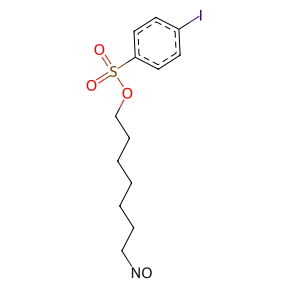 O=NCCCCCCCOS(=O)(=O)c1ccc(I)cc1